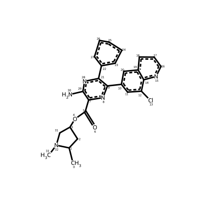 CC1CC(OC(=O)c2nc(-c3cc(Cl)c4ncccc4c3)c(-c3ccccc3)nc2N)CN1C